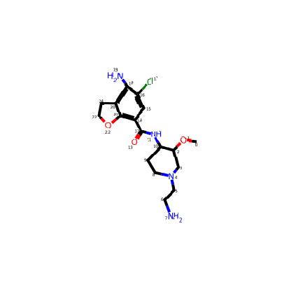 COC1CN(CCN)CCC1NC(=O)c1cc(Cl)c(N)c2c1OCC2